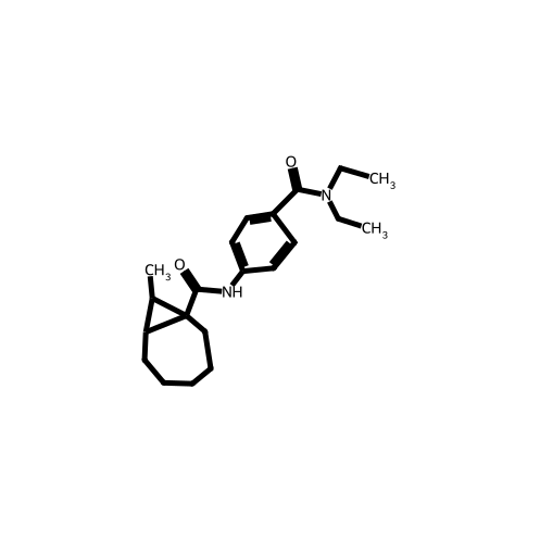 CCN(CC)C(=O)c1ccc(NC(=O)C23CCCCCC2C3C)cc1